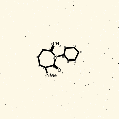 C=C1CCCC(NC)C(=O)N1C1C=CCCC1